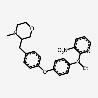 CCN(c1ccc(Oc2ccc(CC3COCCN3C)cc2)cc1)c1ncccc1[N+](=O)[O-]